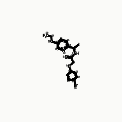 CC(NC(=O)COc1ccc(Br)cc1)c1ccc(OCC(F)(F)F)cn1